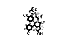 CC[C@@H](CNS(=O)(=O)C(C)C)N1C(=O)[C@](C)(CC(=O)O)CC(c2cccc(Cl)c2)[C@H]1c1ccc(Cl)cc1